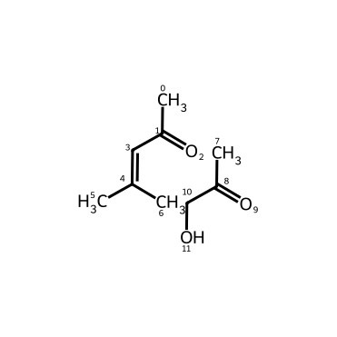 CC(=O)C=C(C)C.CC(=O)CO